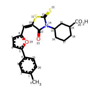 Cc1ccc(-c2ccc(C=C3SC(=S)N(C4CCCC(C(=O)O)C4)C3=O)o2)cc1